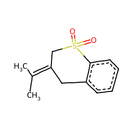 CC(C)=C1Cc2ccccc2S(=O)(=O)C1